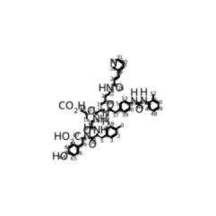 Cc1ccc(C[C@H](NC(=O)[C@H](CCCC(=O)O)NC(=O)[C@H](CCCCNC(=O)/C=C/c2cccnc2)NC(=O)Cc2ccc(NC(=O)Nc3ccccc3C)cc2)C(=O)N[C@@H](Cc2ccc(O)cc2)C(=O)O)cc1